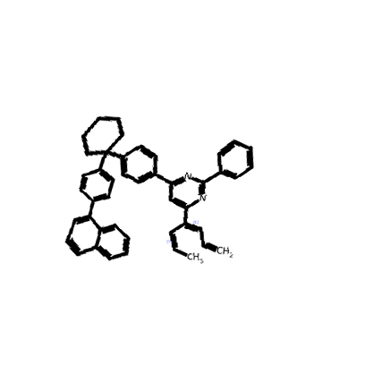 C=C/C=C(\C=C/C)c1cc(-c2ccc(C3(c4ccc(-c5cccc6ccccc56)cc4)CCCCC3)cc2)nc(-c2ccccc2)n1